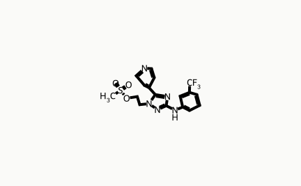 CS(=O)(=O)OCCn1nc(Nc2cccc(C(F)(F)F)c2)nc1-c1ccncc1